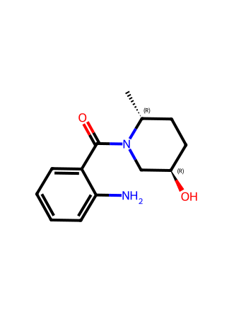 C[C@@H]1CC[C@@H](O)CN1C(=O)c1ccccc1N